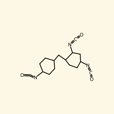 O=C=NC1CCC(CC2CCC(N=C=O)CC2N=C=O)CC1